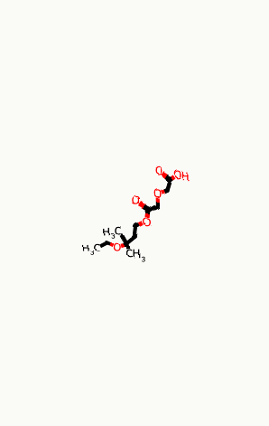 CCOC(C)(C)CCOC(=O)COCC(=O)O